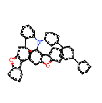 c1ccc(-c2ccc(-c3cccc(N(c4ccccc4-c4ccc5c(c4)oc4ccccc45)c4cccc5oc6ccccc6c45)c3)cc2)cc1